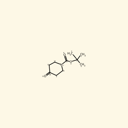 CC(C)(C)OC(=O)N1[CH]CC(=O)CC1